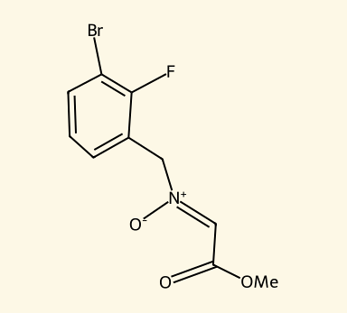 COC(=O)/C=[N+](\[O-])Cc1cccc(Br)c1F